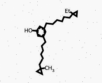 CCC1(CCCCCCc2cc(O)cc(CCCCCCC3(C)CC3)c2)CC1